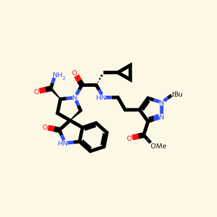 COC(=O)c1nn(C(C)(C)C)cc1CCN[C@@H](CC1CC1)C(=O)N1C[C@]2(C[C@H]1C(N)=O)C(=O)Nc1ccccc12